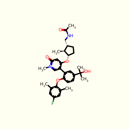 CC(=O)NC[C@@H]1CC[C@H](Oc2cc(=O)n(C)cc2-c2cc(C(C)(C)O)ccc2Oc2c(C)cc(F)cc2C)[C@H]1C